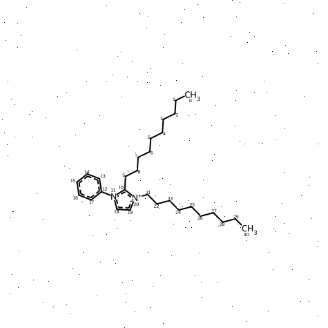 CCCCCCCCCCc1n(-c2ccccc2)cc[n+]1CCCCCCCCCC